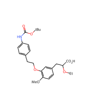 CCOC(Cc1ccc(OC)c(OCCc2ccc(NC(=O)OC(C)(C)C)cc2)c1)C(=O)O